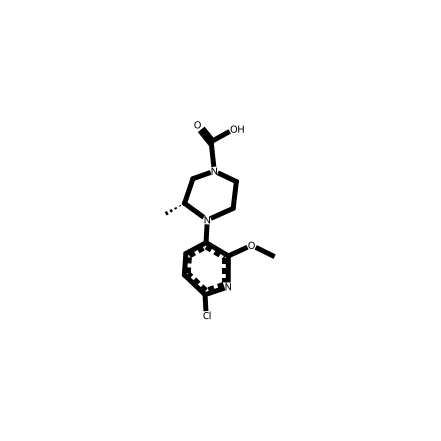 COc1nc(Cl)ccc1N1CCN(C(=O)O)C[C@H]1C